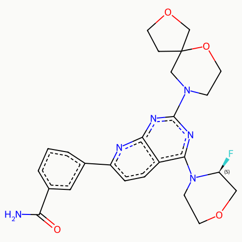 NC(=O)c1cccc(-c2ccc3c(N4CCOC[C@@H]4F)nc(N4CCOC5(CCOC5)C4)nc3n2)c1